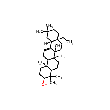 CC[C@]12CCC(C)(C)C[C@H]1C1=CCC3[C@@]4(C)CC[C@H](O)C(C)(C)C4CC[C@@]3(C)[C@@]1(C)CC2